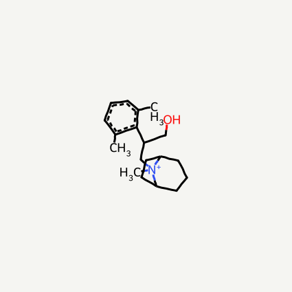 Cc1cccc(C)c1C(CO)C[N+]1(C)C2CCCC1CC2